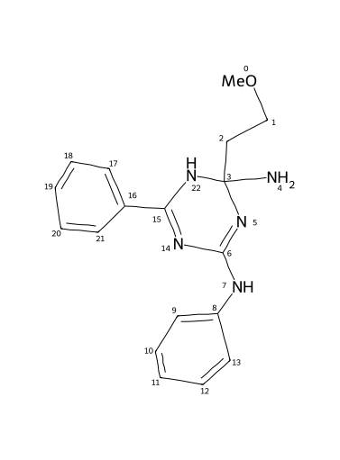 COCCC1(N)N=C(Nc2ccccc2)N=C(c2ccccc2)N1